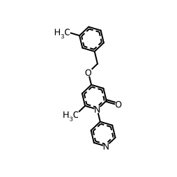 Cc1cccc(COc2cc(C)n(-c3ccncc3)c(=O)c2)c1